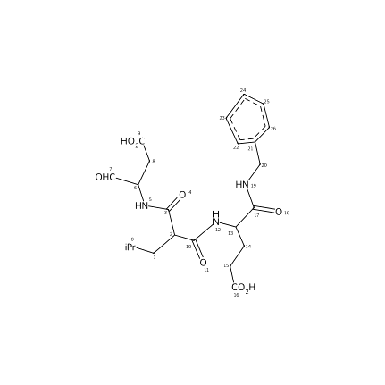 CC(C)CC(C(=O)NC(C=O)CC(=O)O)C(=O)NC(CCC(=O)O)C(=O)NCc1ccccc1